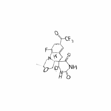 C[C@@H]1CN2c3c(F)cc(C(=O)C(F)(F)F)cc3CC3(C(=O)NC(=O)NC3=O)[C@H]2[C@H](C)O1